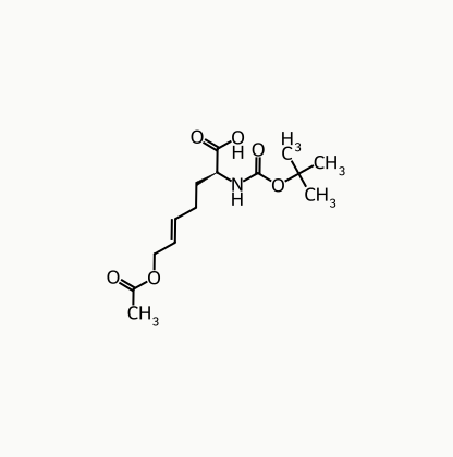 CC(=O)OCC=CCC[C@H](NC(=O)OC(C)(C)C)C(=O)O